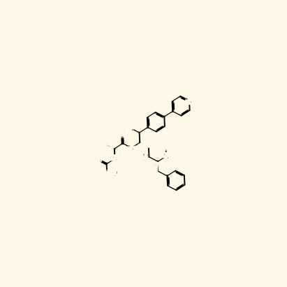 COC(=O)N[C@H](C(=O)N[C@@H](C[C@@H](O)[C@H](Cc1ccccc1)NC(=O)O)C(c1ccc(-c2ccncc2)cc1)C(C)(C)C)C(C)(C)C